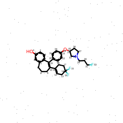 Oc1ccc2c(c1)CCCC(C1=CCC(F)(F)CC1)=C2c1ccc(O[C@H]2CCN(CCCF)C2)cc1